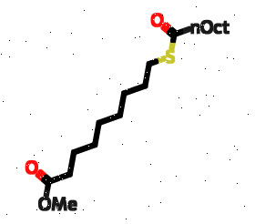 CCCCCCCCC(=O)SCCCCCCCCC(=O)OC